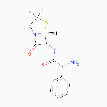 CC1(C)CN2C(=O)[C@@H](NC(=O)C(N)c3ccccc3)[C@H]2S1